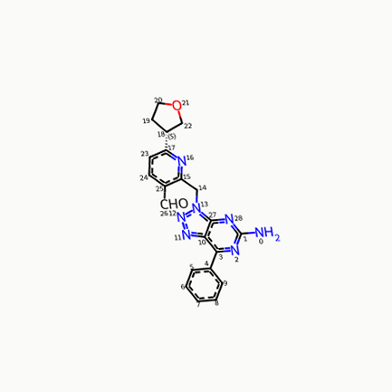 Nc1nc(-c2ccccc2)c2nnn(Cc3nc([C@@H]4CCOC4)ccc3C=O)c2n1